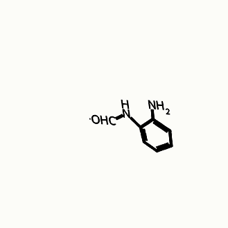 Nc1ccccc1N[C]=O